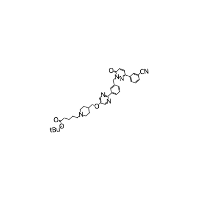 CC(C)(C)OC(=O)CCCCN1CCC(COc2cnc(-c3cccc(Cn4nc(-c5cccc(C#N)c5)ccc4=O)c3)nc2)CC1